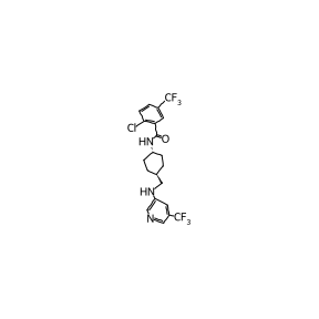 O=C(N[C@H]1CC[C@H](CNc2cncc(C(F)(F)F)c2)CC1)c1cc(C(F)(F)F)ccc1Cl